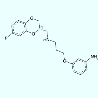 Nc1cccc(OCCCNC[C@H]2COc3ccc(F)cc3O2)c1